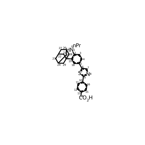 CCCNc1ccc(-c2cnc(-c3ccc(C(=O)O)cc3)s2)cc1C12CC3CC(CC(C3)C1)C2